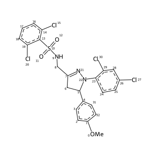 COc1ccc(C2CC(CNS(=O)(=O)c3c(Cl)cccc3Cl)=NN2c2ccc(Cl)cc2Cl)cc1